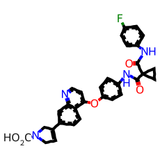 O=C(O)N1CC=C(c2ccc3c(Oc4ccc(NC(=O)C5(C(=O)Nc6ccc(F)cc6)CC5)cc4)ccnc3c2)C1